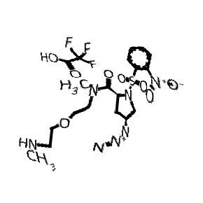 CNCCOCCN(C)C(=O)[C@@H]1C[C@H](N=[N+]=[N-])CN1S(=O)(=O)c1ccccc1[N+](=O)[O-].O=C(O)C(F)(F)F